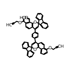 C#CCOC(=C)c1ccc2c(c1C=C)OC1(C=C2c2ccc(C3=CC4(Oc5c3ccc3c(OCC#C)cccc53)c3ccccc3-c3ccccc34)cc2)c2ccccc2-c2ccccc21